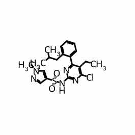 CCc1c(Cl)nc(NS(=O)(=O)c2cnn(C)c2)nc1-c1ccccc1CC(C)C